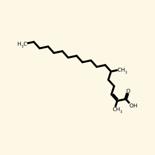 CCCCCCCCCCCCC(C)CCC=C(C)C(=O)O